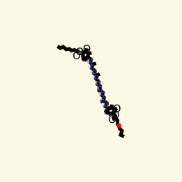 CCCCCCCC(=O)O[C@H]1CC(C)(C)C(/C=C/C(C)=C/C=C/C(C)=C/C=C/C=C(C)/C=C/C=C(C)/C=C/C2C(C)C(=O)[C@@H](OC(=O)CCCCCCC)CC2(C)C)=C(C)C1=O